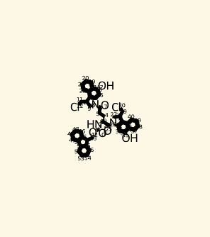 O=C(N[C@@H](CCC(=O)N1CC(CCl)c2c1cc(O)c1ccccc21)C(=O)N1CC(CCl)c2c1cc(O)c1ccccc21)OCC1c2ccccc2-c2ccccc21